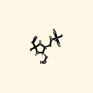 CC1(C=O)O[C@@H](CO)[C@H](COS(C)(=O)=O)O1